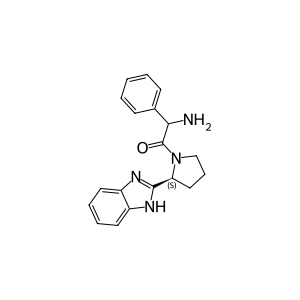 NC(C(=O)N1CCC[C@H]1c1nc2ccccc2[nH]1)c1ccccc1